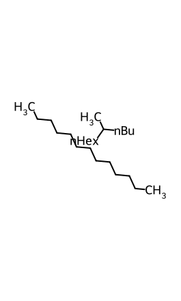 CCCCCCC(C)CCCC.CCCCCCCCCCCCC